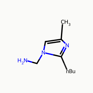 CCCCc1nc(C)cn1CN